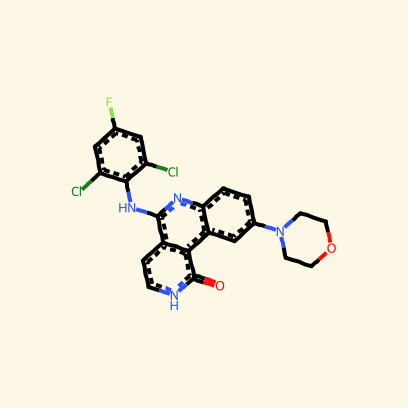 O=c1[nH]ccc2c(Nc3c(Cl)cc(F)cc3Cl)nc3ccc(N4CCOCC4)cc3c12